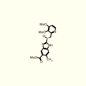 COC(=O)c1cc2nc([S+]([O-])Cc3nccc(OC)c3OC)[nH]c2cc1C